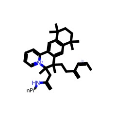 C=C(/C=C\C)CCC1(C)c2cc3c(cc2-c2cccc[n+]2C1(C)CC(=C)NCCC)C(C)(C)CCC3(C)C